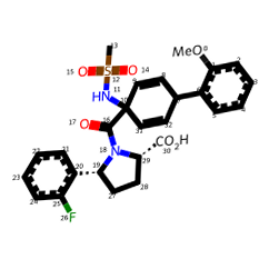 COc1ccccc1C1C=CC(NS(C)(=O)=O)(C(=O)N2[C@@H](c3ccccc3F)CC[C@H]2C(=O)O)C=C1